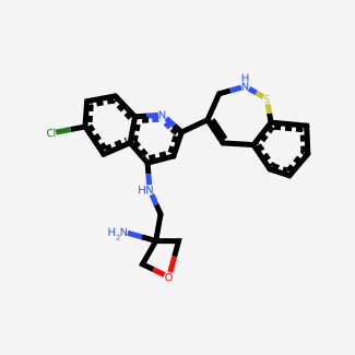 NC1(CNc2cc(C3=Cc4ccccc4SNC3)nc3ccc(Cl)cc23)COC1